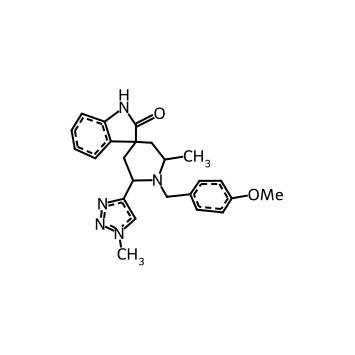 COc1ccc(CN2C(C)CC3(CC2c2cn(C)nn2)C(=O)Nc2ccccc23)cc1